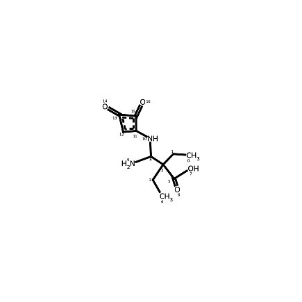 CCC(CC)(C(=O)O)C(N)Nc1cc(=O)c1=O